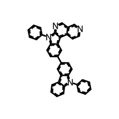 c1ccc(-n2c3ccccc3c3cc(-c4ccc5c(c4)c4c6ccncc6cnc4n5-c4ccccc4)ccc32)cc1